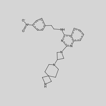 O=[N+]([O-])c1ccc(CCNc2nc(N3CC(N4CCC5(CC4)CNC5)C3)nc3ccccc23)cc1